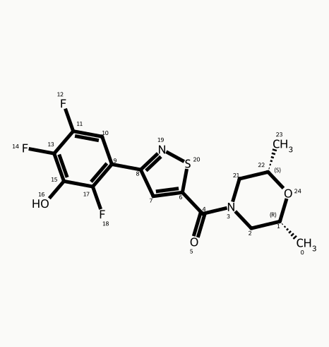 C[C@@H]1CN(C(=O)c2cc(-c3cc(F)c(F)c(O)c3F)ns2)C[C@H](C)O1